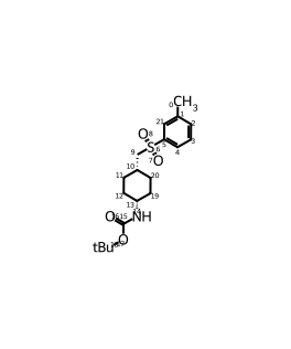 Cc1cccc(S(=O)(=O)C[C@H]2CC[C@@H](NC(=O)OC(C)(C)C)CC2)c1